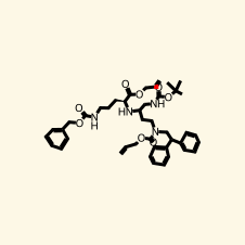 C=CCOC(=O)[C@H](CCCNC(=O)OCc1ccccc1)NC(CCN(CC(c1ccccc1)c1ccccc1)C(=O)OCC=C)CNC(=O)OC(C)(C)C